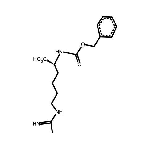 CC(=N)NCCCC[C@H](NC(=O)OCc1ccccc1)C(=O)O